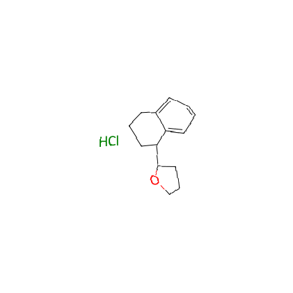 Cl.c1ccc2c(c1)CCCC2C1CCCO1